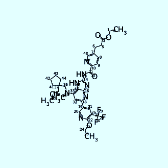 CCOC(=O)CCc1ccc(C(=O)Nc2nc3nc(-c4cnc(OCC)c(C(F)(F)F)c4)cc(N(C)CC4(COC)CCCC4)c3[nH]2)nc1